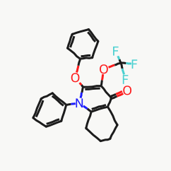 O=c1c2c(n(-c3ccccc3)c(Oc3ccccc3)c1OC(F)(F)F)CCCC2